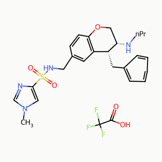 CCCN[C@H]1COc2ccc(CNS(=O)(=O)c3cn(C)cn3)cc2[C@H]1Cc1ccccc1.O=C(O)C(F)(F)F